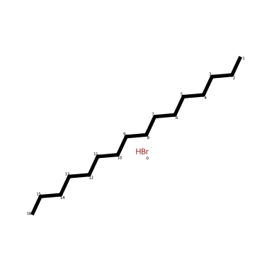 Br.CCCCCCCCCCCCCCCC